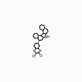 Clc1nc2ccc(-c3cc4[nH]c5ccc6ccccc6c5c4c4ccccc34)cc2nc1Cl